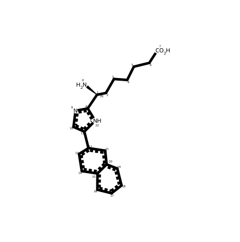 N[C@@H](CCCCCC(=O)O)c1ncc(-c2ccc3ccccc3c2)[nH]1